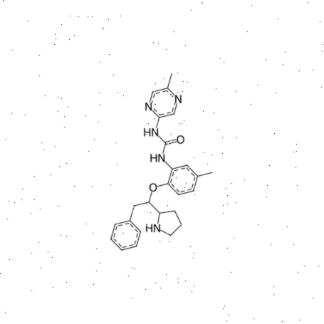 Cc1ccc(OC(Cc2ccccc2)C2CCCN2)c(NC(=O)Nc2cnc(C)cn2)c1